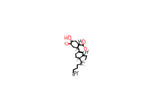 CC(C)CCC[C@@H](C)[C@H]1CC[C@H]2C3=C(CC[C@]12C)[C@@]1(C)CC(=O)[C@H](O)C[C@@H]1C(=O)O3